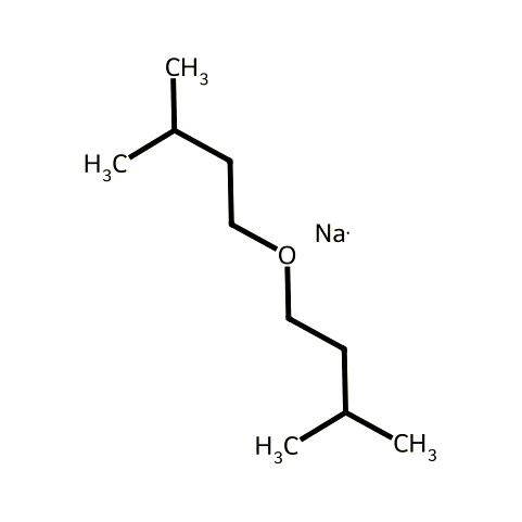 CC(C)CCOCCC(C)C.[Na]